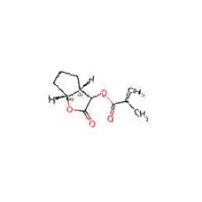 C=C(C)C(=O)OC1C(=O)O[C@@H]2CCC[C@H]12